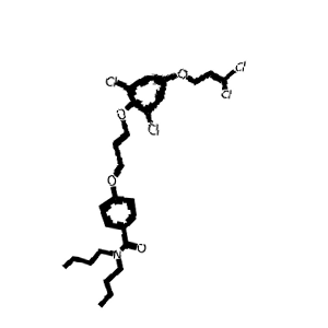 CCCCN(CCCC)C(=O)c1ccc(OCCCOc2c(Cl)cc(OCC=C(Cl)Cl)cc2Cl)cc1